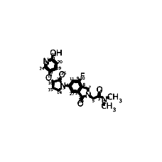 CN(C)C(=O)CN1Cc2c(F)cc(N3CCC(Oc4ccc(O)nc4)C3=O)cc2C1=O